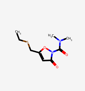 CCSCc1cc(=O)n(C(=O)N(C)C)o1